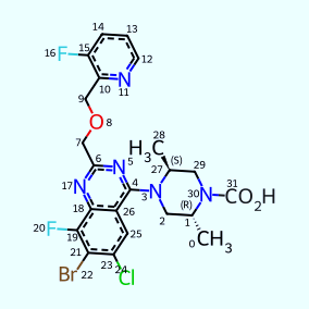 C[C@@H]1CN(c2nc(COCc3ncccc3F)nc3c(F)c(Br)c(Cl)cc23)[C@@H](C)CN1C(=O)O